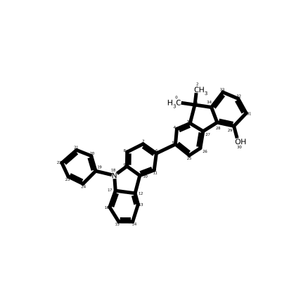 CC1(C)c2cc(-c3ccc4c(c3)c3ccccc3n4-c3ccccc3)ccc2-c2c(O)cccc21